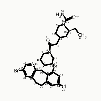 CC[C@H]1CC(CC(=O)N2CCC([C@H]3c4ncc(Br)cc4CCc4cc(Cl)cc(Br)c43)CC2)CCN1C(N)=O